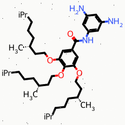 CC(C)CCC[C@@H](C)CCOc1cc(C(=O)Nc2cc(N)cc(N)c2)cc(OCC[C@H](C)CCCC(C)C)c1OCC[C@H](C)CCCC(C)C